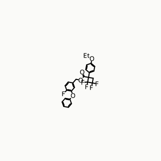 CCOc1ccc(C2(C(=O)OCc3ccc(F)c(Oc4ccccc4)c3)CC(F)(F)C2(F)F)cc1